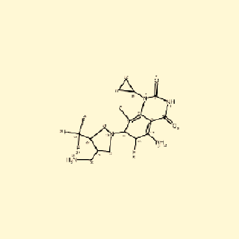 CC1=c2c(c(=O)[nH]c(=O)n2C2CC2)=C(N)C(F)C1N1CC(CN)C(C(F)(F)F)C1